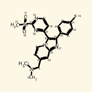 CN(C)Cc1ccn2c(-c3ccnc(S(C)(=O)=O)n3)c(-c3ccc(F)cc3)nc2c1